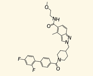 COCCNC(=O)c1ccc2nn(CC3CCN(C(=O)c4ccc(-c5ccc(F)cc5F)cc4)CC3)cc2c1C